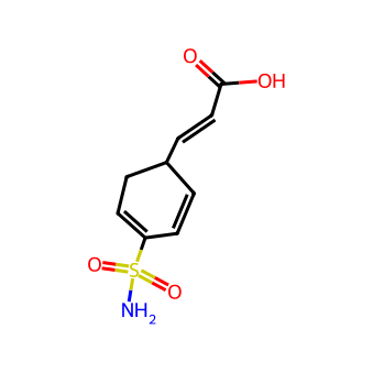 NS(=O)(=O)C1=CCC(C=CC(=O)O)C=C1